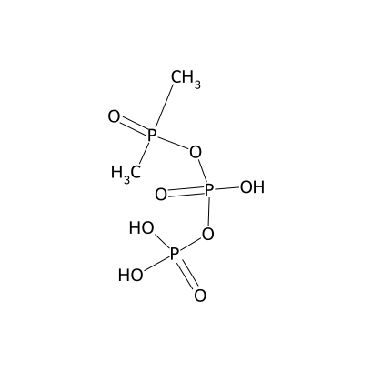 CP(C)(=O)OP(=O)(O)OP(=O)(O)O